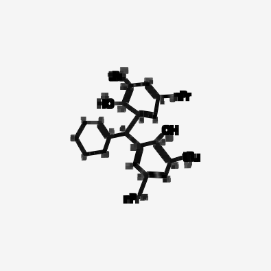 CCCc1cc(C(C2=CCCCC2)c2cc(CCC)cc(C(C)(C)C)c2O)c(O)c(C(C)(C)C)c1